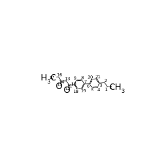 CCCc1ccc(-c2ccc(C(=O)CC(=O)CC)cc2)cc1